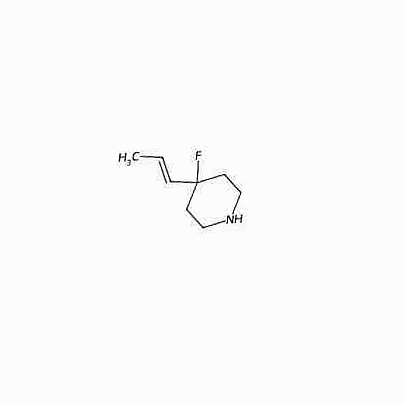 C/C=C/C1(F)CCNCC1